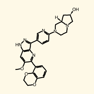 COc1cc2[nH]nc(-c3ccc(N4CCN5C[C@H](O)C[C@H]5C4)nc3)c2nc1-c1cccc2c1OCCO2